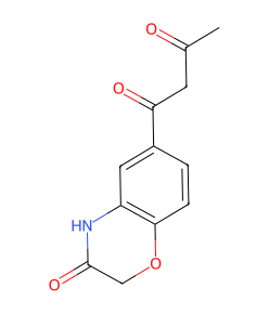 CC(=O)CC(=O)c1ccc2c(c1)NC(=O)CO2